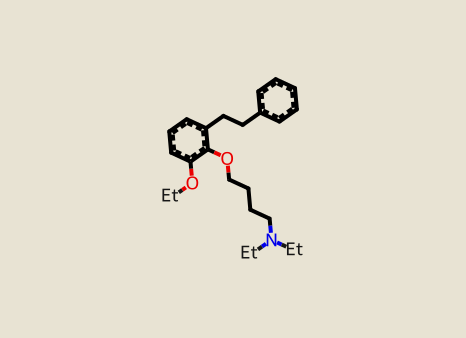 CCOc1cccc(CCc2ccccc2)c1OCCCCN(CC)CC